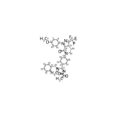 COc1ccc(-n2nc(C(F)(F)F)c3c2C(=O)N(c2ccc(C(=NS(C)(=O)=O)N(C)Cc4ccccc4)cc2)CC3)cc1